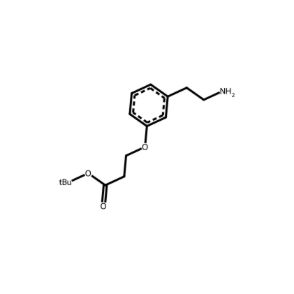 CC(C)(C)OC(=O)CCOc1cccc(CCN)c1